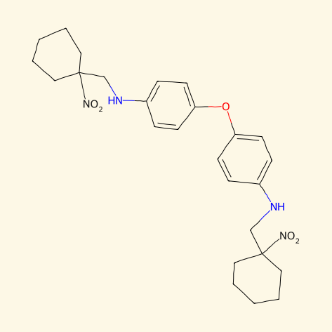 O=[N+]([O-])C1(CNc2ccc(Oc3ccc(NCC4([N+](=O)[O-])CCCCC4)cc3)cc2)CCCCC1